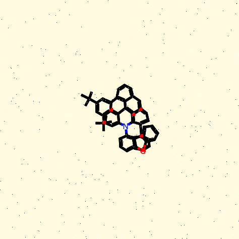 CC(C)(C)c1cc(-c2cccc3cccc(-c4ccccc4N(c4ccccc4-c4ccccc4)c4cccc5oc6ccccc6c45)c23)cc(C(C)(C)C)c1